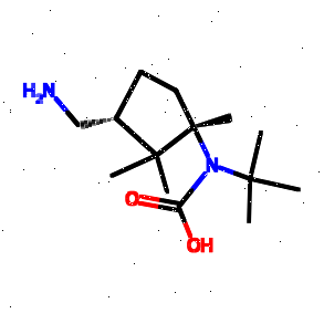 CC(C)(C)N(C(=O)O)[C@@]1(C)CC[C@@H](CN)C1(C)C